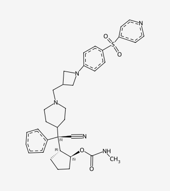 CNC(=O)O[C@H]1CCC[C@@H]1[C@](C#N)(c1ccccc1)C1CCN(CC2CN(c3ccc(S(=O)(=O)c4ccncc4)cc3)C2)CC1